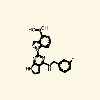 OB(O)c1cccc2c1cnn2-c1nc2c(c(NCc3cccc(F)c3)n1)CCN2